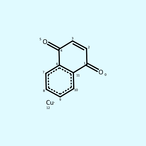 O=C1C=CC(=O)c2ccccc21.[Cu]